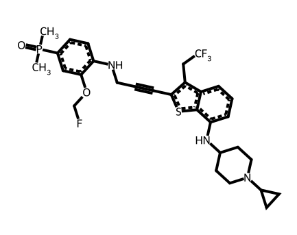 CP(C)(=O)c1ccc(NCC#Cc2sc3c(NC4CCN(C5CC5)CC4)cccc3c2CC(F)(F)F)c(OCF)c1